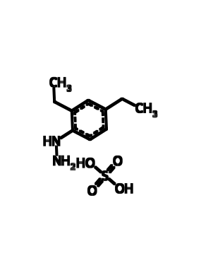 CCc1ccc(NN)c(CC)c1.O=S(=O)(O)O